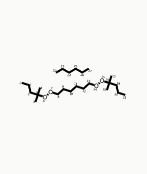 CCCC(C)(C)OOCCCCCCOOC(C)(C)CCC.CCCCCC